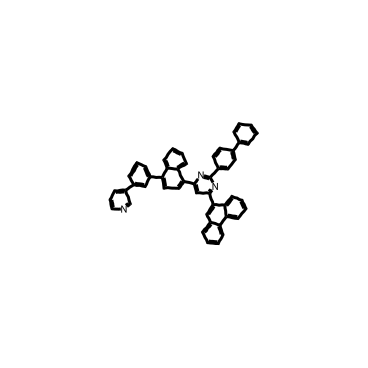 c1ccc(-c2ccc(-c3nc(-c4ccc(-c5cccc(-c6cccnc6)c5)c5ccccc45)cc(-c4cc5ccccc5c5ccccc45)n3)cc2)cc1